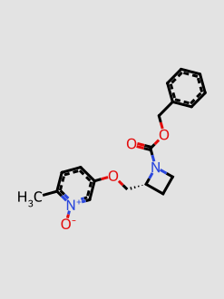 Cc1ccc(OC[C@H]2CCN2C(=O)OCc2ccccc2)c[n+]1[O-]